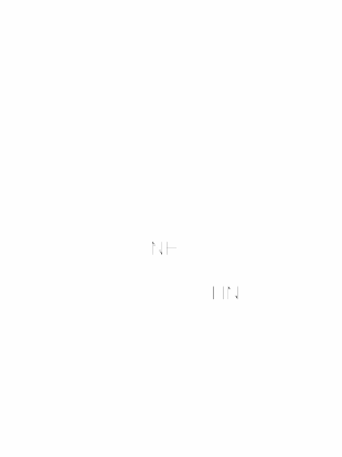 CCN/C(C)=C(/C)C=N